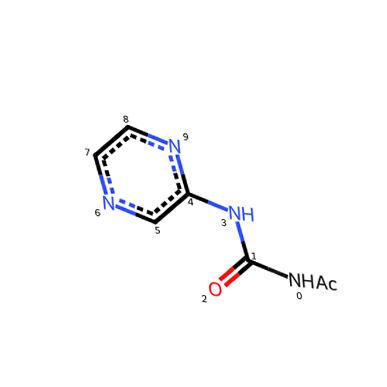 [CH2]C(=O)NC(=O)Nc1cnccn1